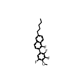 CCCCCc1ccc2c(F)c(-c3cc(F)c(OC)c(F)c3F)ccc2c1